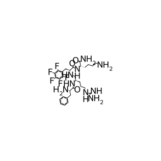 N=C(N)NCCC[C@H](CN[C@@H](Cc1c(F)c(F)c(F)c(F)c1F)C(=O)N[C@@H](CCCCN)C(N)=O)NC(=O)[C@@H](N)Cc1ccccc1